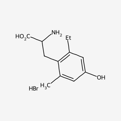 Br.CCc1cc(O)cc(C)c1CC(N)C(=O)O